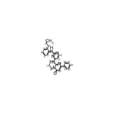 CCCc1ccccc1Nc1nccc(N2CCCn3c2nc(-c2ccccc2)cc3=O)n1